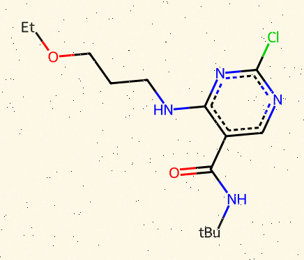 CCOCCCNc1nc(Cl)ncc1C(=O)NC(C)(C)C